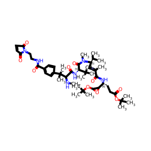 CNC(C(=O)N[C@H](C(=O)N(C)[C@H](/C=C(\C)C(=O)N[C@H](CCC(=O)OC(C)(C)C)C1OC1OC(C)(C)C)C(C)C)C(C)(C)C)C(C)(C)c1ccc(C(=O)NCCN2C(=O)C=CC2=O)cc1